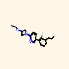 CCCc1cccc(-c2ccc(N3CC(=NCC)C3)nc2)c1F